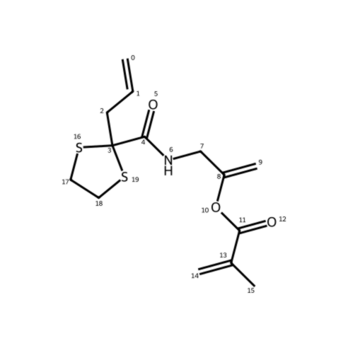 C=CCC1(C(=O)NCC(=C)OC(=O)C(=C)C)SCCS1